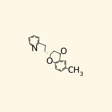 Cc1ccc2c(c1)C(=O)C[C@@H](CCc1ccccn1)O2